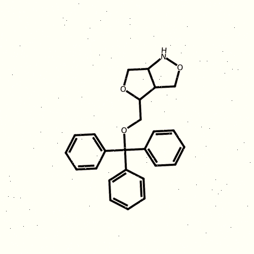 c1ccc(C(OCC2OCC3NOCC32)(c2ccccc2)c2ccccc2)cc1